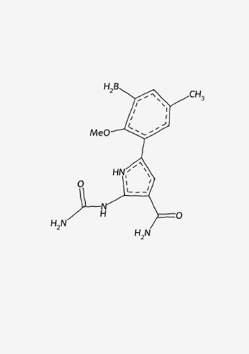 Bc1cc(C)cc(-c2cc(C(N)=O)c(NC(N)=O)[nH]2)c1OC